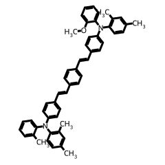 COc1ccccc1N(c1ccc(C=Cc2ccc(C=Cc3ccc(N(c4ccccc4C)c4ccc(C)cc4C)cc3)cc2)cc1)c1ccc(C)cc1C